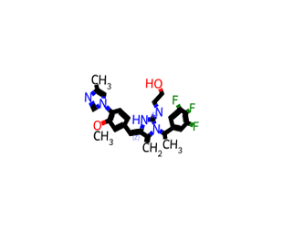 C=c1/c(=C/c2ccc(-n3cnc(C)c3)c(OC)c2)[nH]/c(=N\CCO)n1C(C)c1cc(F)c(F)c(F)c1